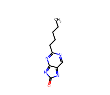 CCCCCc1ncc2c(n1)=NC(=O)N=2